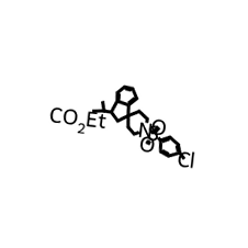 CCOC(=O)C(C)(C)C1CC2(CCN(S(=O)(=O)c3ccc(Cl)cc3)CC2)c2ccccc21